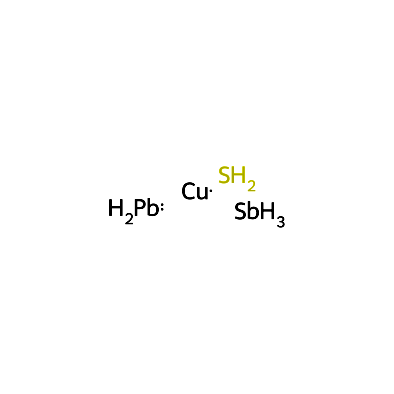 S.[Cu].[PbH2].[SbH3]